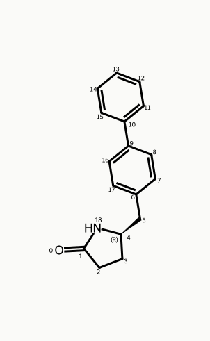 O=C1CC[C@H](Cc2ccc(-c3ccccc3)cc2)N1